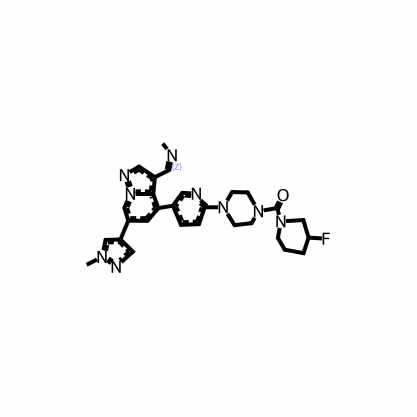 C/N=C\c1cnn2cc(-c3cnn(C)c3)cc(-c3ccc(N4CCN(C(=O)N5CCCC(F)C5)CC4)nc3)c12